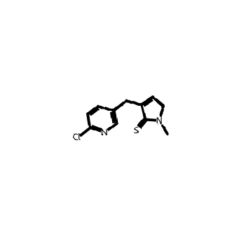 CN1CC=C(Cc2ccc(Cl)nc2)C1=S